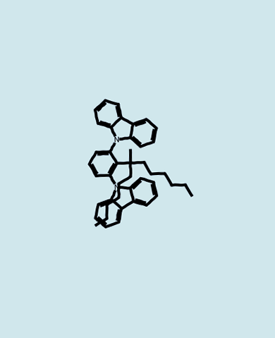 CCCCCCC(C)(CCCCCC)c1c(-n2c3ccccc3c3ccccc32)cccc1-n1c2ccccc2c2ccccc21